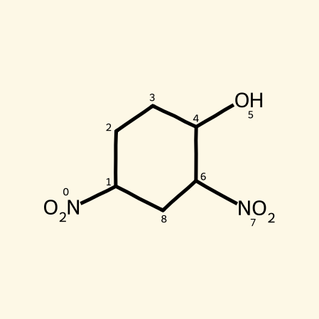 O=[N+]([O-])C1CCC(O)C([N+](=O)[O-])C1